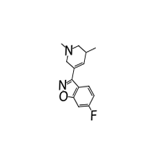 CC1C=C(c2noc3cc(F)ccc23)CN(C)C1